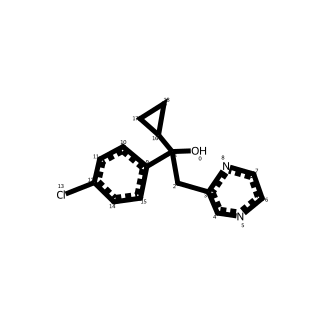 OC(Cc1cnccn1)(c1ccc(Cl)cc1)C1CC1